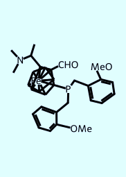 COc1ccccc1CP(Cc1ccccc1OC)[C]12[CH]3[CH]4[C]5(C(C)N(C)C)[C]1(C=O)[Fe]43521678[CH]2[CH]1[CH]6[CH]7[CH]28